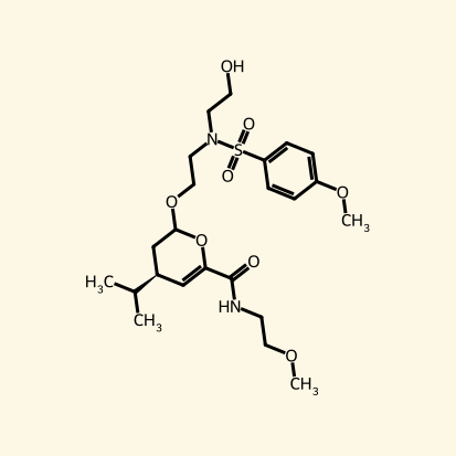 COCCNC(=O)C1=C[C@@H](C(C)C)CC(OCCN(CCO)S(=O)(=O)c2ccc(OC)cc2)O1